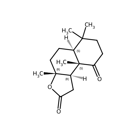 CC1(C)CCC(=O)[C@]2(C)[C@H]3CC(=O)O[C@]3(C)CC[C@@H]12